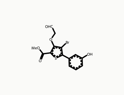 COC(=O)c1sc(-c2cccc(O)c2)c(Br)c1OCC=O